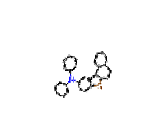 c1ccc(N(c2ccccc2)c2ccc3sc4ccc5ccccc5c4c3c2)cc1